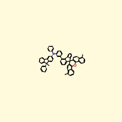 Cc1cccc2c3c(ccc12)C1(c2ccccc2-c2c(-c4cccc(N(c5ccccc5)c5ccc6c(c5)-c5ccccc5C6(C)c5ccccc5)c4)cccc21)c1ccc2c(C)cccc2c1O3